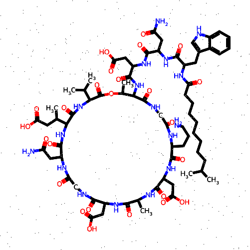 CC(C)CCCCCCCCC(=O)NC(Cc1c[nH]c2ccccc12)C(=O)NC(CC(N)=O)C(=O)NC(CC(=O)O)C(=O)NC1C(=O)NCC(=O)NC(CCCN)C(=O)NC(CC(=O)O)C(=O)NC(C)C(=O)NC(CC(=O)O)C(=O)NCC(=O)NC(CC(N)=O)C(=O)NC(C(C)CC(=O)O)C(=O)NC(C(C)C)C(=O)OC1C